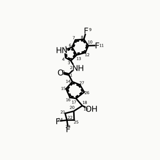 O=C(Nc1c[nH]c2cc(F)c(F)cc12)c1ccc(C(O)C2CC(F)(F)C2)cc1